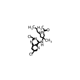 CCCCCC(C)(CNC(C)=O)Nc1nc(Cl)nc2cc(Cl)cnc12